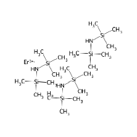 C[Si](C)(C)N[Si](C)(C)C.C[Si](C)(C)N[Si](C)(C)C.C[Si](C)(C)N[Si](C)(C)C.[Er+3]